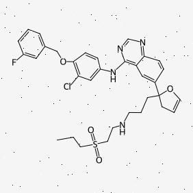 CCCS(=O)(=O)CCNCCCC1(c2ccc3ncnc(Nc4ccc(OCc5cccc(F)c5)c(Cl)c4)c3c2)CC=CO1